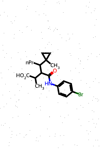 CCCC(C(C(=O)Nc1ccc(Br)cc1)C(C)C(=O)O)C1(C)CC1